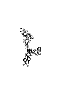 CC(C)(C)OC(=O)ON1CCc2c(c(-c3ccc(Cl)c(Cl)c3)nn2CCCN2CCC(N3C(=O)Cc4cc(Cl)ccc43)CC2)C1